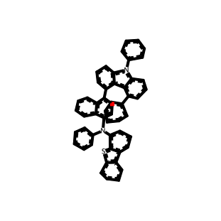 c1ccc(-c2cccc3c2c2c(-c4ccc(N(c5ccccc5)c5cccc6c5sc5ccccc56)c5ccccc45)cccc2n3-c2ccccc2)cc1